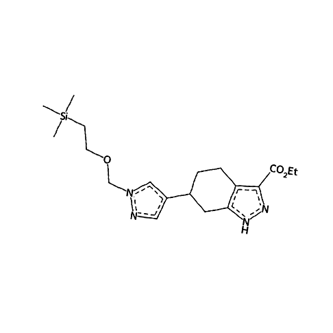 CCOC(=O)c1n[nH]c2c1CCC(c1cnn(COCC[Si](C)(C)C)c1)C2